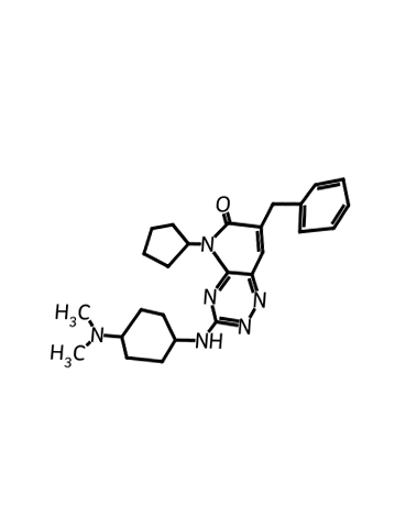 CN(C)C1CCC(Nc2nnc3cc(Cc4ccccc4)c(=O)n(C4CCCC4)c3n2)CC1